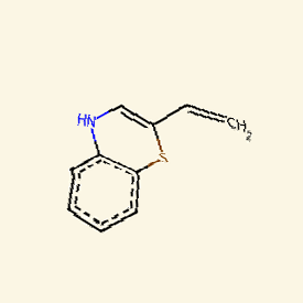 C=CC1=CNc2ccccc2S1